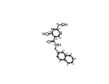 O=C(NCc1ccc2ccccc2c1)c1cnc(CO)nc1O